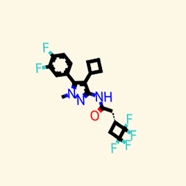 Cn1nc(NC(=O)C[C@H]2CC(F)(F)C2(F)F)c(C2CCC2)c1-c1ccc(F)c(F)c1